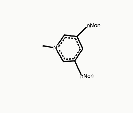 CCCCCCCCCc1cc(CCCCCCCCC)c[n+](C)c1